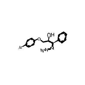 CC(=O)c1ccc(OC[C@@H](O)[C@H](N=[N+]=[N-])c2ccccc2)cc1